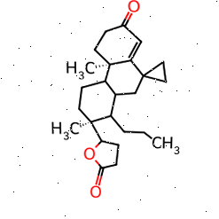 CCCC1C2CC3(CC3)C3=CC(=O)CC[C@]3(C)C2CC[C@]1(C)C1CCC(=O)O1